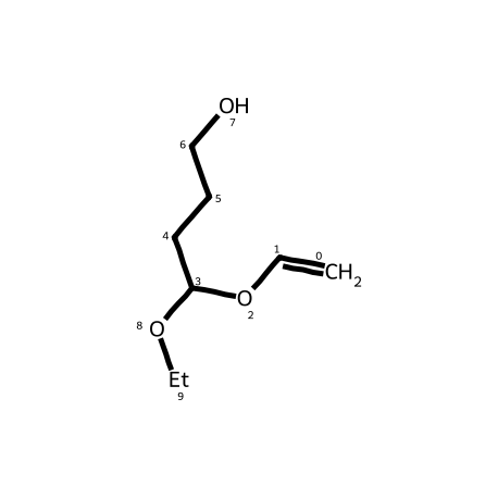 C=COC(CCCO)OCC